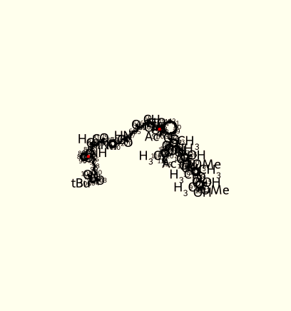 COc1c(C)c(OC2OC(C)C(O)C(OC)C2O)c(I)c(C)c1C(=O)SC1C(O)CC(ONC2C(C)OC(O[C@H]3C#C/C=C\C#C[C@]4(O)CC(=O)C(CC(C)=O)=C3/C4=C/CSSC(C)(C)CCC(=O)CCCNC(=O)OCc3ccc(NC(=O)[C@H](C)CC(=O)[C@H](Cc4ccccc4)NC(=O)CCCCCN4C(=O)CC(C(C)(C)C)C4=O)cc3)C(OC3CC(C)C(CC(C)=O)CO3)C2O)OC1C